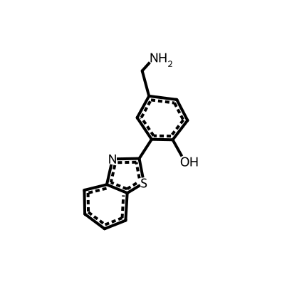 NCc1ccc(O)c(-c2nc3ccccc3s2)c1